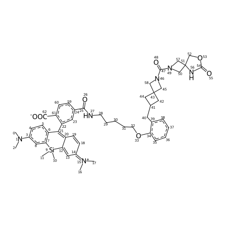 CN(C)c1ccc2c(c1)[Si](C)(C)C1=CC(=[N+](C)C)C=CC1=C2c1cc(C(=O)NCCCCCOc2ccccc2CC2CC3(C2)CN(C(=O)N2CC4(COC(=O)N4)C2)C3)ccc1C(=O)[O-]